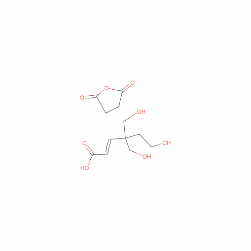 O=C(O)C=CC(CO)(CO)CCO.O=C1CCC(=O)O1